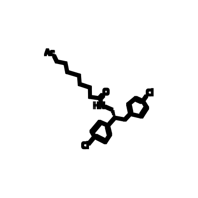 CC(=O)CCCCCCCC(=O)NC[C@H](Cc1ccc(Cl)cc1)c1ccc(Cl)cc1